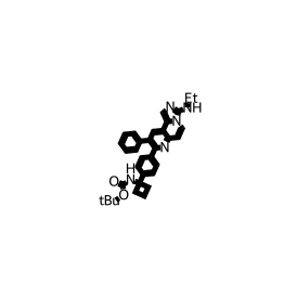 CCNc1ncc2c3cc(-c4ccccc4)c(-c4ccc(C5(NC(=O)OC(C)(C)C)CCC5)cc4)nc3ccn12